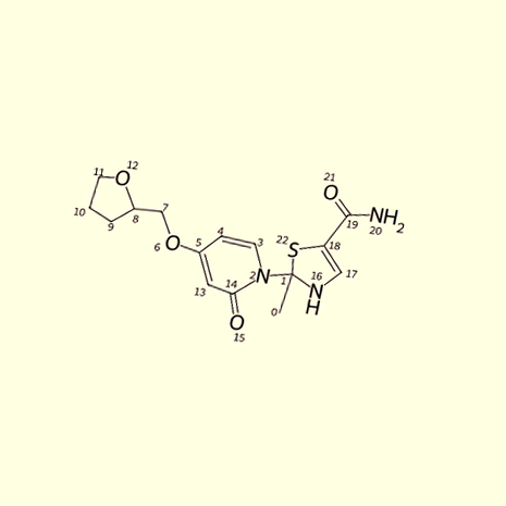 CC1(n2ccc(OCC3CCCO3)cc2=O)NC=C(C(N)=O)S1